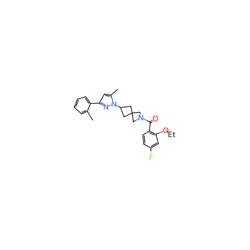 CCOc1cc(F)ccc1C(=O)N1CC2(CC(n3nc(-c4ccccc4C)cc3C)C2)C1